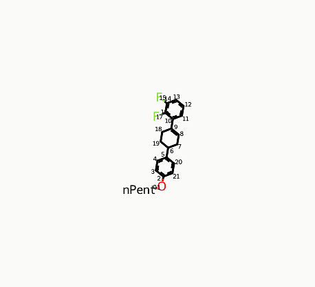 CCCCCOc1ccc(C2CC=C(c3cccc(F)c3F)CC2)cc1